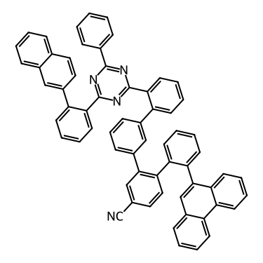 N#Cc1ccc(-c2ccccc2-c2cc3ccccc3c3ccccc23)c(-c2cccc(-c3ccccc3-c3nc(-c4ccccc4)nc(-c4ccccc4-c4ccc5ccccc5c4)n3)c2)c1